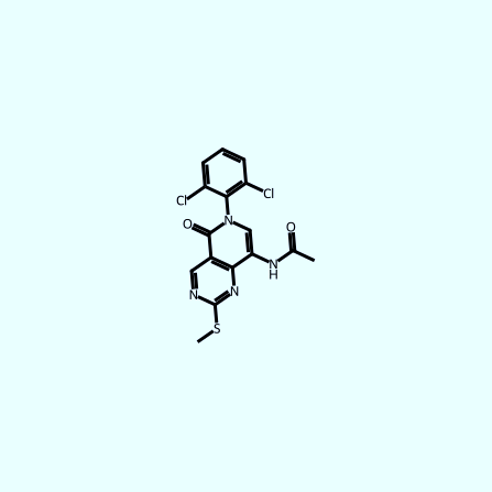 CSc1ncc2c(=O)n(-c3c(Cl)cccc3Cl)cc(NC(C)=O)c2n1